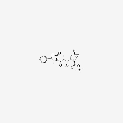 COC([C@@H](C)C(=O)N1C(=O)OC(c2ccccc2)[C@H]1C)[C@@H]1C[C@@H]2CC2N1C(=O)OC(C)(C)C